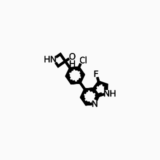 OC1(c2ccc(-c3ccnc4[nH]cc(F)c34)cc2Cl)CNC1